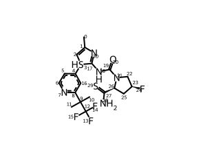 CC1=C[SH](c2ccnc(C(C)(C)C(F)(F)F)c2)C(NC(=O)N2C[C@@H](F)C[C@H]2C(N)=S)=N1